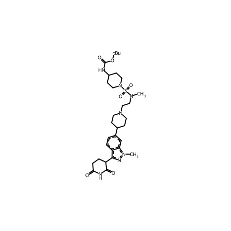 CN(CCN1CCC(c2ccc3c(C4CCC(=O)NC4=O)nn(C)c3c2)CC1)S(=O)(=O)N1CCC(NC(=O)OC(C)(C)C)CC1